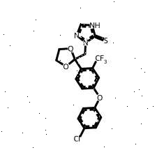 FC(F)(F)c1cc(Oc2ccc(Cl)cc2)ccc1C1(Cn2nc[nH]c2=S)OCCO1